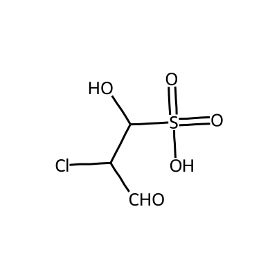 O=CC(Cl)C(O)S(=O)(=O)O